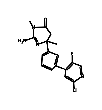 CN1C(=O)CC(C)(c2cccc(-c3cc(Cl)ncc3F)c2)N=C1N